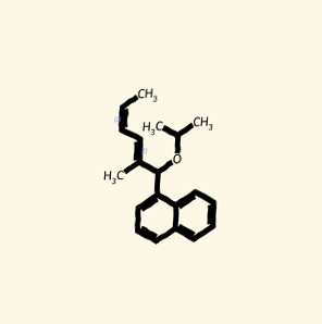 C/C=C\C=C(/C)C(OC(C)C)c1cccc2ccccc12